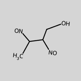 CC(N=O)C(CO)N=O